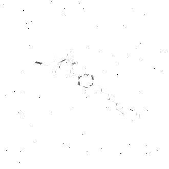 C#CCCC(O)=C(C#N)C(=O)Nc1ccc(OCCCCCC(=O)O)cc1